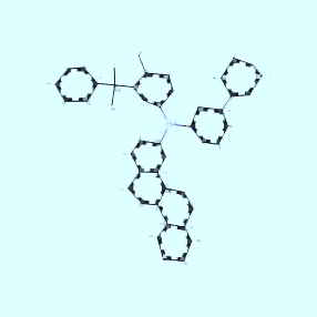 Cc1ccc(N(c2cccc(-c3ccccc3)c2)c2ccc3ccc4c5ccccc5ccc4c3c2)cc1C(C)(C)c1ccccc1